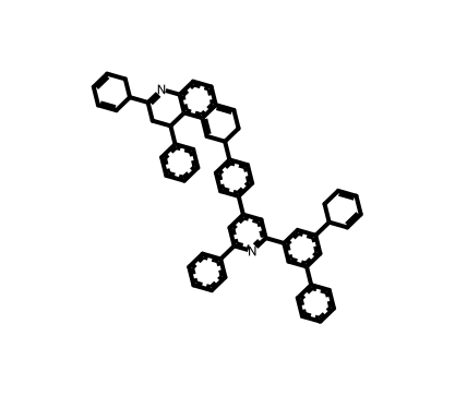 C1=CCC(C2=Nc3ccc4c(c3C(c3ccccc3)C2)=CC(c2ccc(-c3cc(-c5ccccc5)nc(-c5cc(-c6ccccc6)cc(C6C=CC=CC6)c5)c3)cc2)CC=4)C=C1